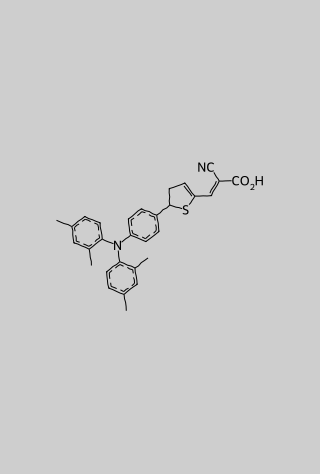 Cc1ccc(N(c2ccc(C3CC=C(/C=C(\C#N)C(=O)O)S3)cc2)c2ccc(C)cc2C)c(C)c1